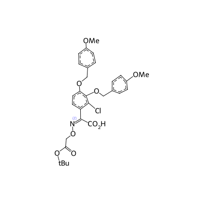 COc1ccc(COc2ccc(/C(=N/OCC(=O)OC(C)(C)C)C(=O)O)c(Cl)c2OCc2ccc(OC)cc2)cc1